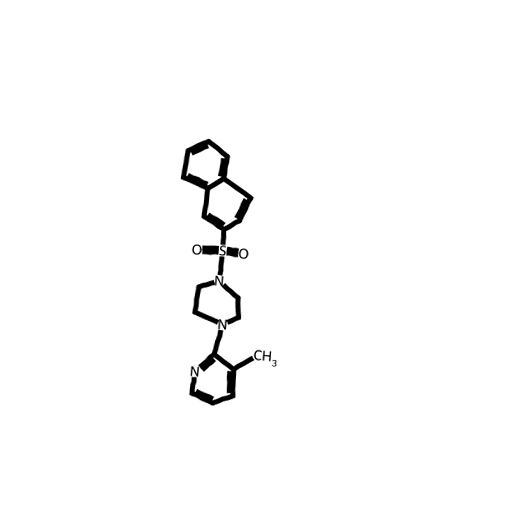 Cc1cccnc1N1CCN(S(=O)(=O)c2ccc3ccccc3c2)CC1